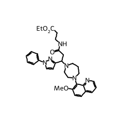 CCOC(=O)CCNC(=O)CC(c1ccn(-c2ccccc2)n1)N1CCCN(c2c(OC)ccc3cccnc23)CC1